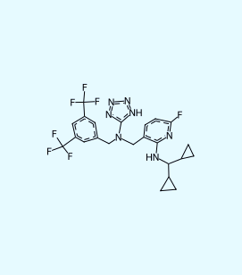 Fc1ccc(CN(Cc2cc(C(F)(F)F)cc(C(F)(F)F)c2)c2nnn[nH]2)c(NC(C2CC2)C2CC2)n1